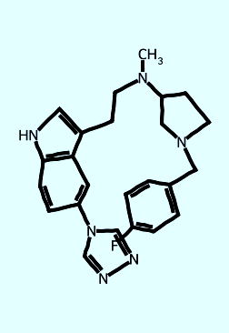 CN(CCc1c[nH]c2ccc(-n3cnnc3)cc12)C1CCN(Cc2ccc(F)cc2)C1